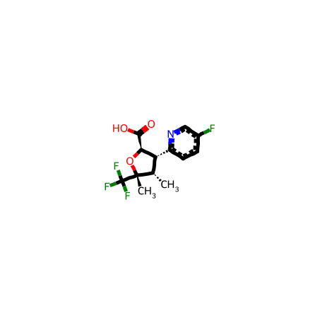 C[C@H]1[C@@H](c2ccc(F)cn2)[C@H](C(=O)O)O[C@@]1(C)C(F)(F)F